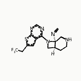 C=N[C@]12CNCC[C@H]1CN2c1ncnc2sc(CC(F)(F)F)cc12